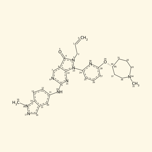 C=CCn1c(=O)c2cnc(Nc3ccc4c(cnn4C)c3)nc2n1-c1cccc(O[C@@H]2CCCN(C)CC2)n1